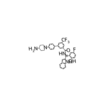 NC1CCN(c2ccc(-c3cc(C(=O)N[C@@H](c4cc5ccccc5[nH]4)c4cc(F)ccc4O)cc(C(F)(F)F)c3)cc2)CC1